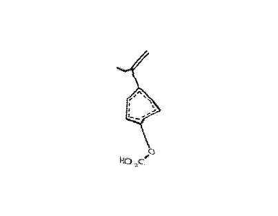 C=C(C)c1ccc(OC(=O)O)cc1